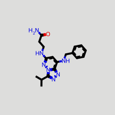 CC(C)c1nnc2c(NCc3ccccc3)cc(NCCC(N)=O)nn12